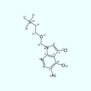 CC(=O)c1cnc2c(c(Cl)cn2COCC[Si](C)(C)C)c1Cl